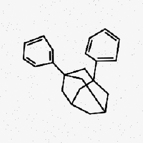 c1ccc(C23CC4CC(C2)CC(c2ccccc2)(C4)C3)cc1